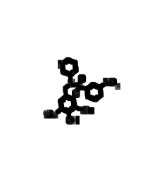 CC(C)(C)c1cc(CN(c2cccnc2)S(=O)(=O)c2cccc([N+](=O)[O-])c2)cc(C(C)(C)C)c1O